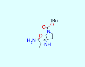 CC(N[C@H]1CCN(C(=O)OC(C)(C)C)C1)C(N)=O